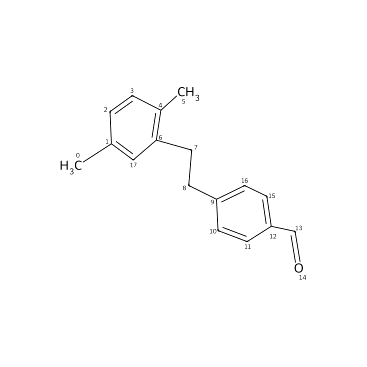 Cc1ccc(C)c(CCc2ccc(C=O)cc2)c1